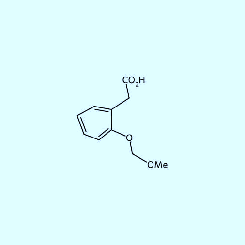 COCOc1ccccc1CC(=O)O